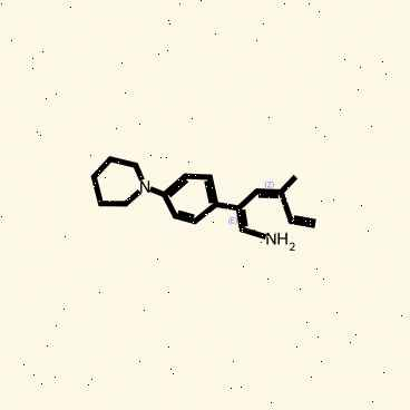 C=C/C(C)=C\C(=C/N)c1ccc(N2CCCCC2)cc1